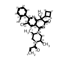 C=CC(=O)N1CC(C)N(C2=NC(=O)C(C)(C3CCC3)c3nc(-c4ccccc4F)c(Cl)cc32)CC1C